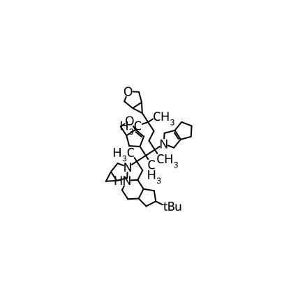 CC(C)(C)C1CC2CCNC(CC(C)(N3CC4CC4C3)C(C)(C3C=C4OCC4C3)C(C)(CCC(C)(C)C3C4COCC43)N3CC4=C(CCC4)C3)C2C1